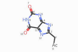 CC(=O)CC1=NC2=NC(=O)NC(=O)C2=N1